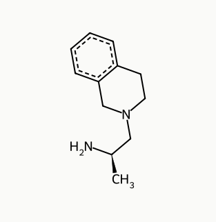 C[C@@H](N)CN1CCc2ccccc2C1